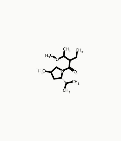 CCC(C(=O)N1CC(C)C[C@H]1C(C)C)C(C)OC